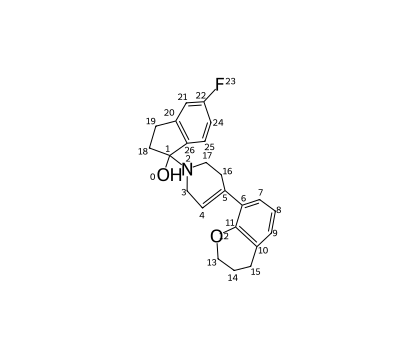 OC1(N2CC=C(c3cccc4c3OCCC4)CC2)CCc2cc(F)ccc21